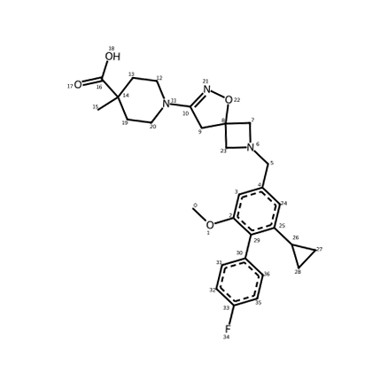 COc1cc(CN2CC3(CC(N4CCC(C)(C(=O)O)CC4)=NO3)C2)cc(C2CC2)c1-c1ccc(F)cc1